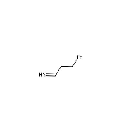 CC[CH]CC=N